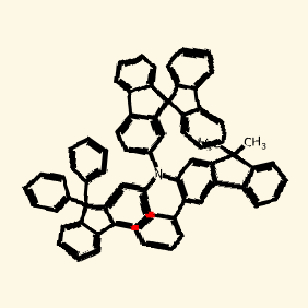 CC1(C)c2ccccc2-c2cc(-c3ccccc3)c(N(c3ccc4c(c3)C(c3ccccc3)(c3ccccc3)c3ccccc3-4)c3ccc4c(c3)C3(c5ccccc5-c5ccccc53)c3ccccc3-4)cc21